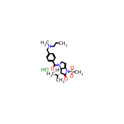 CCCN(C)Cc1ccc(C(=O)N2CC=C3[C@H]2[C@@H](C(C)C)C(=O)N3S(C)(=O)=O)cc1.Cl